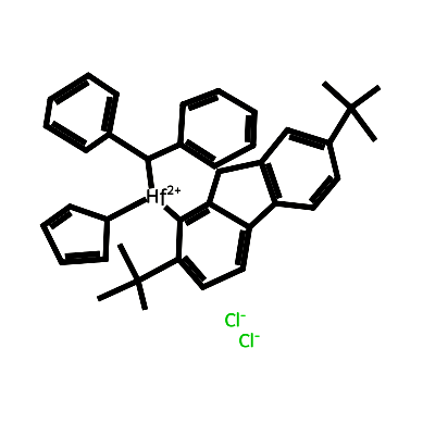 CC(C)(C)c1ccc2c(c1)Cc1c-2ccc(C(C)(C)C)[c]1[Hf+2]([CH]1C=CC=C1)[CH](c1ccccc1)c1ccccc1.[Cl-].[Cl-]